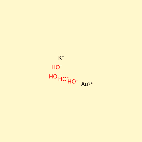 [Au+3].[K+].[OH-].[OH-].[OH-].[OH-]